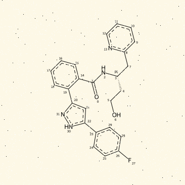 O=C(N[C@@H](CCO)Cc1ccccn1)c1ccccc1-c1cc(-c2ccc(F)cc2)[nH]n1